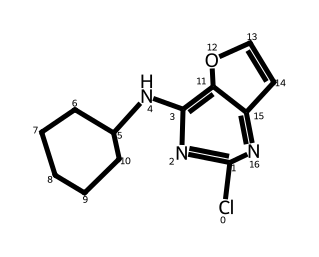 Clc1nc(NC2CCCCC2)c2occc2n1